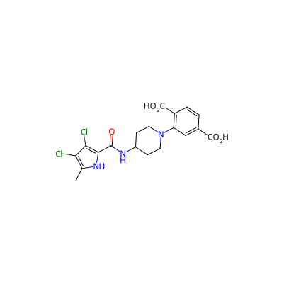 Cc1[nH]c(C(=O)NC2CCN(c3cc(C(=O)O)ccc3C(=O)O)CC2)c(Cl)c1Cl